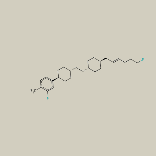 FCCCC=CC[C@H]1CC[C@H](CC[C@H]2CC[C@H](c3ccc(C(F)(F)F)c(F)c3)CC2)CC1